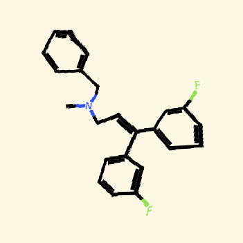 CN(CC=C(c1cccc(F)c1)c1cccc(F)c1)Cc1ccccc1